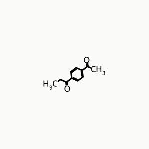 CCC(=O)c1ccc(C(C)=O)cc1